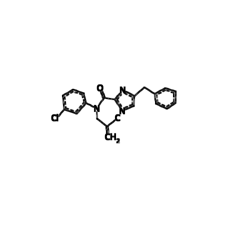 C=C1CN(c2cccc(Cl)c2)C(=O)c2nc(Cc3ccccc3)cn2C1